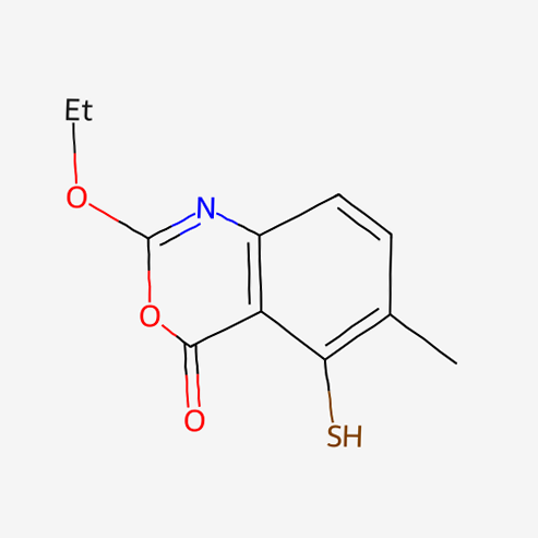 CCOc1nc2ccc(C)c(S)c2c(=O)o1